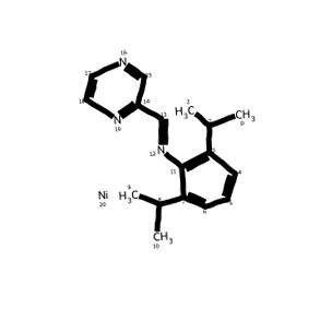 CC(C)c1cccc(C(C)C)c1N=Cc1cnccn1.[Ni]